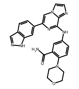 NC(=O)c1cc(Nc2nc(-c3ccc4cn[nH]c4c3)cn3ccnc23)ccc1N1CCOCC1